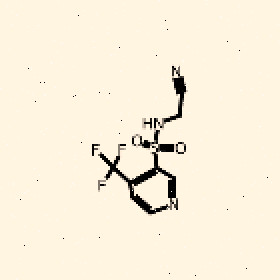 N#CCNS(=O)(=O)c1cnccc1C(F)(F)F